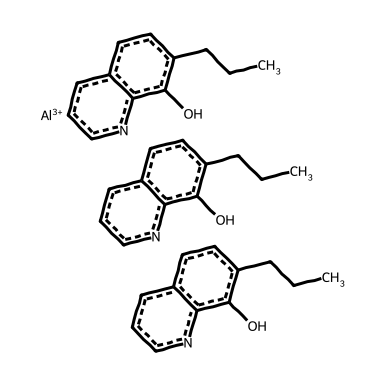 CCCc1ccc2cccnc2c1O.CCCc1ccc2cccnc2c1O.CCCc1ccc2cccnc2c1O.[Al+3]